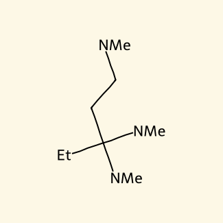 [CH2]CC(CCNC)(NC)NC